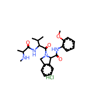 CNC(C)C(=O)NC(C(=O)N1Cc2ccccc2C1C(=O)Nc1ccccc1OC)C(C)C.Cl